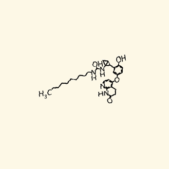 CCCCCCCCCCNC(O)NC12CC1C2c1cc(Oc2ccnc3c2CCC(=O)N3)ccc1O